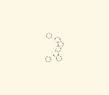 c1ccc(-c2ccc3ccc4cc5c(nc(-c6ccccc6)c6ccccc65)nc4c3n2)cc1